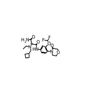 CCN(CC1CCC1)[C@@H](C(N)=O)C(=O)Nc1ccc(N2CCOCC2=O)c(OC(F)F)c1